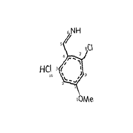 COc1ccc(C=N)c(Cl)c1.Cl